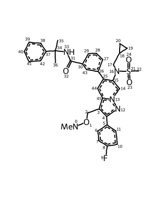 CNOCc1c(-c2ccc(F)cc2)nn2cc(N(CC3CC3)S(C)(=O)=O)c(-c3cccc(C(=O)NC(C)(C)c4ccccc4)c3)cc12